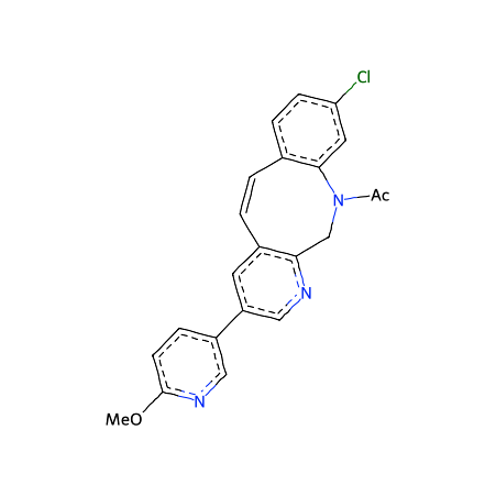 COc1ccc(-c2cnc3c(c2)C=Cc2ccc(Cl)cc2N(C(C)=O)C3)cn1